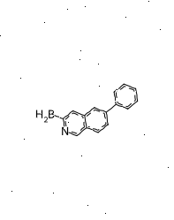 Bc1cc2cc(-c3ccccc3)ccc2cn1